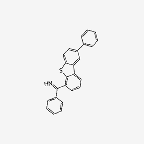 N=C(c1ccccc1)c1cccc2c1sc1ccc(-c3ccccc3)cc12